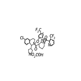 CCC[C@H]1N(C(=O)c2ncccc2C(F)(F)F)CCC[C@@]1(Oc1csc(C(F)(F)F)c1)C(=O)N1CCc2cc(Cl)ccc2C1C1CCCC1.O=C(O)O